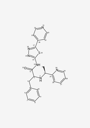 C[C@H](NC(Cc1ccccc1)C(=O)Nc1nnc(-c2ccncc2)s1)c1ccccn1